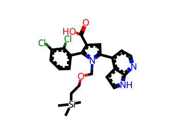 C[Si](C)(C)CCOCn1c(-c2ccnc3[nH]ccc23)cc(C(=O)O)c1-c1cccc(Cl)c1Cl